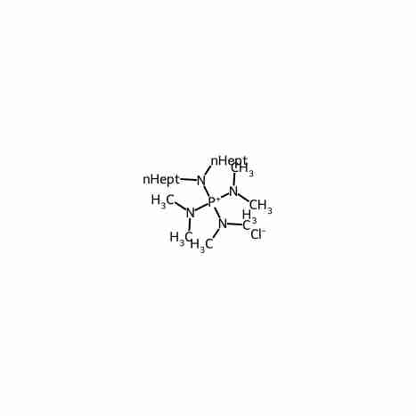 CCCCCCCN(CCCCCCC)[P+](N(C)C)(N(C)C)N(C)C.[Cl-]